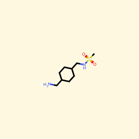 CS(=O)(=O)NCC1CCC(CN)CC1